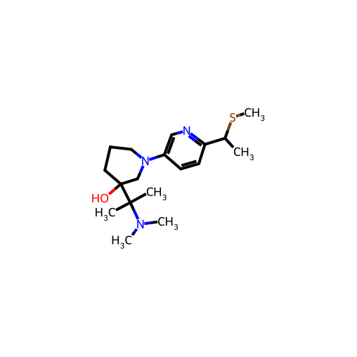 CSC(C)c1ccc(N2CCCC(O)(C(C)(C)N(C)C)C2)cn1